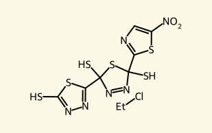 CCCl.O=[N+]([O-])c1cnc(C2(S)N=NC(S)(c3nnc(S)s3)S2)s1